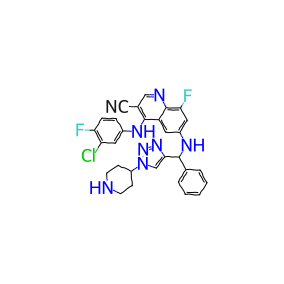 N#Cc1cnc2c(F)cc(NC(c3ccccc3)c3cn(C4CCNCC4)nn3)cc2c1Nc1ccc(F)c(Cl)c1